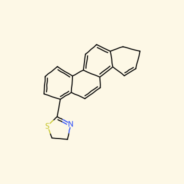 C1=Cc2c(ccc3c2ccc2c(C4=NCCS4)cccc23)CC1